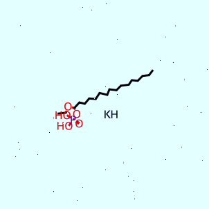 CCCCCCCCCCCCCCCC(OCC)OP(=O)(O)O.[KH]